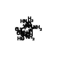 N=C(N)NCCCC(N)C(=O)O.N=C(N)NCCC[C@H](N)C(=O)O